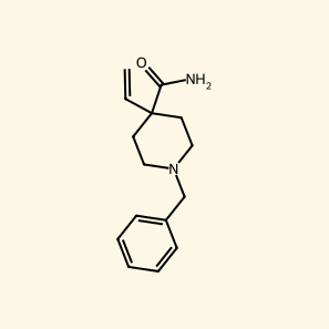 C=CC1(C(N)=O)CCN(Cc2ccccc2)CC1